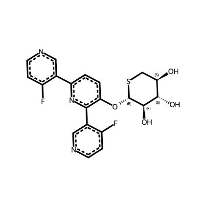 O[C@@H]1[C@@H](O)[C@H](Oc2ccc(-c3cnccc3F)nc2-c2cnccc2F)SC[C@H]1O